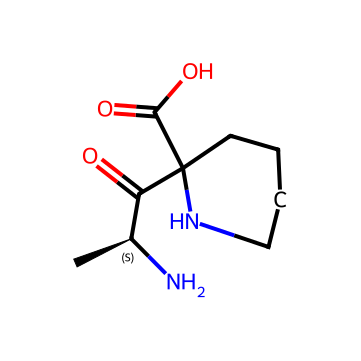 C[C@H](N)C(=O)C1(C(=O)O)CCCCN1